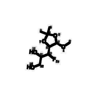 CO[C@@H]1OC(C)(C)O[C@@H]1C(F)[C@H](O)CO